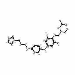 CC(=O)OC(CCl)COc1c(Cl)cc(Sc2ccc(OCCCn3ccnc3)cc2)cc1Cl